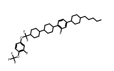 CCCCCC1CCC(c2ccc(C3CCC(C4CCC(C(F)(F)Oc5ccc(OC(F)(F)F)c(F)c5)CC4)CC3)c(F)c2)CC1